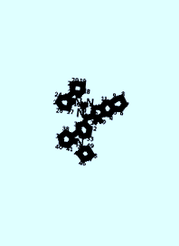 CC1(C)c2cc3ccccc3cc2-c2nc(-n3c4ccccc4c4ccccc43)nc(-c3ccc4c(c3)c3ccccc3n4-c3ccccc3)c21